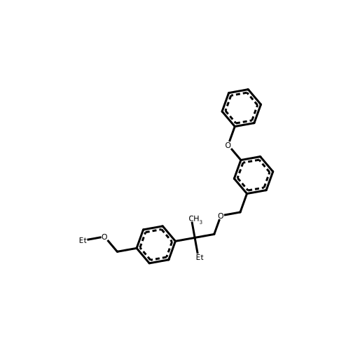 CCOCc1ccc(C(C)(CC)COCc2cccc(Oc3ccccc3)c2)cc1